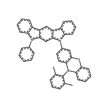 Cc1cccc(C)c1B1c2ccccc2Sc2cc(-n3c4ccccc4c4cc5c6ccccc6n(-c6ccccc6)c5cc43)ccc21